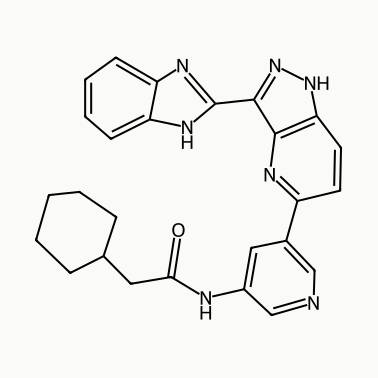 O=C(CC1CCCCC1)Nc1cncc(-c2ccc3[nH]nc(-c4nc5ccccc5[nH]4)c3n2)c1